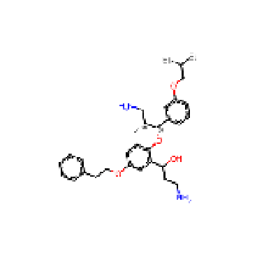 CCC(CC)COc1cccc([C@H](Oc2ccc(OCCc3ccccc3)cc2C(O)CCN)[C@H](C)CN)c1